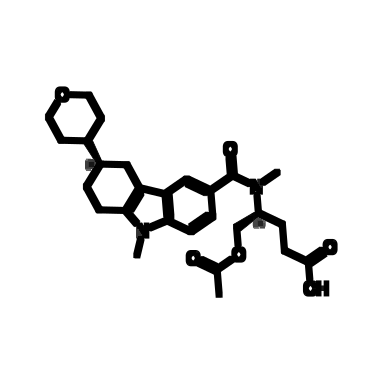 CC(=O)OC[C@H](CCC(=O)O)N(C)C(=O)c1ccc2c(c1)c1c(n2C)CC[C@@H](C2CCOCC2)C1